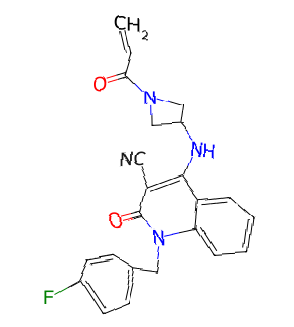 C=CC(=O)N1CC(Nc2c(C#N)c(=O)n(Cc3ccc(F)cc3)c3ccccc23)C1